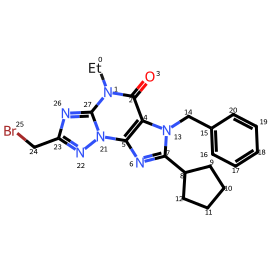 CCn1c(=O)c2c(nc(C3CCCC3)n2Cc2ccccc2)n2nc(CBr)nc12